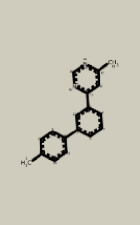 Cc1ccc(-c2cccc(-c3cc(C)ncn3)c2)cc1